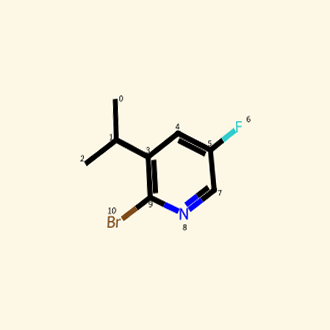 CC(C)c1cc(F)cnc1Br